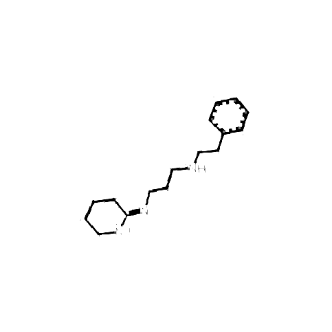 c1ccc(CCNCCCN=C2CCCCN2)cc1